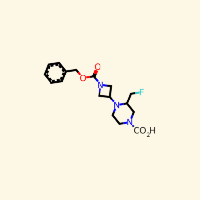 O=C(O)N1CCN(C2CN(C(=O)OCc3ccccc3)C2)C(CF)C1